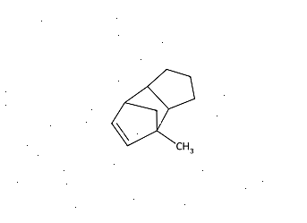 CC12C=CC(C1)C1CCCC12